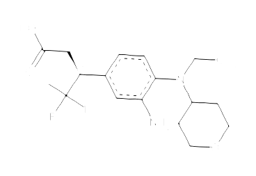 CCN(c1ccc([C@H](CC(=O)O)C(F)(F)F)cc1N)C1CCOCC1